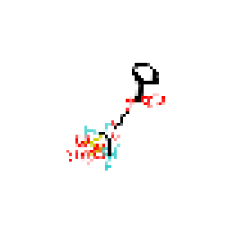 O=C(CCCOC(=O)c1ccccc1)OC(C(F)(F)F)C(F)(F)S(=O)(=O)O